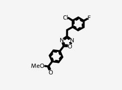 COC(=O)c1ccc(-c2nc(Cc3ccc(F)cc3Cl)no2)cc1